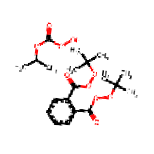 CC(C)(C)OOC(=O)c1ccccc1C(=O)OOC(C)(C)C.CC(C)OC(=O)OO